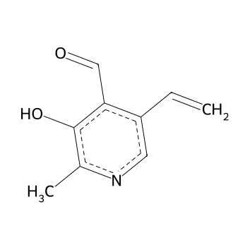 C=Cc1cnc(C)c(O)c1C=O